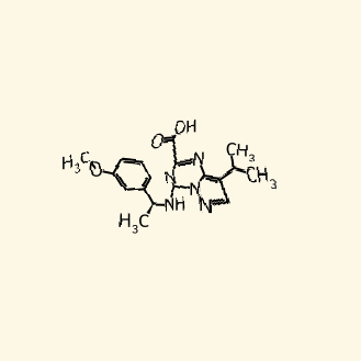 COc1cccc([C@H](C)Nc2nc(C(=O)O)nc3c(C(C)C)cnn23)c1